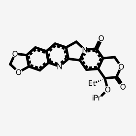 CC[C@@]1(OC(C)C)C(=O)OCc2c1cc1n(c2=O)Cc2cc3cc4c(cc3nc2-1)OCO4